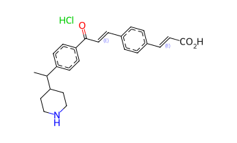 CC(c1ccc(C(=O)/C=C/c2ccc(/C=C/C(=O)O)cc2)cc1)C1CCNCC1.Cl